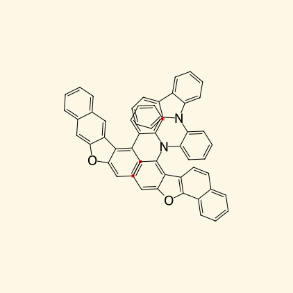 c1ccc(N(c2ccccc2-n2c3ccccc3c3ccccc32)c2cccc3oc4c5ccccc5ccc4c23)c(-c2cccc3oc4cc5ccccc5cc4c23)c1